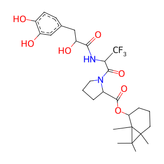 CC1(C)C2(C)CCCC(OC(=O)C3CCCN3C(=O)C(NC(=O)C(O)Cc3ccc(O)c(O)c3)C(F)(F)F)C12C